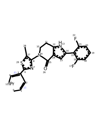 C/C=C\C(=C/CCC)c1nc(N2CCc3[nH]c(-c4c(F)cccc4F)cc3C2=O)c(C)s1